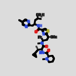 CC(=O)O[C@H](C[C@H](C(C)C)N(C)C(=O)[C@@H](NC(=O)[C@H]1CCCCN1C)[C@@H](C)C1CC1)c1nc(C(=O)N[C@@H](Cc2ncc(C)cn2)C[C@H](C)C(=O)O)cs1